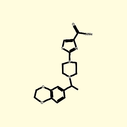 CNC(=O)c1csc(N2CCN(C(C)c3ccc4c(c3)OCCO4)CC2)n1